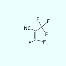 N#CC(=C(F)F)C(F)(F)F